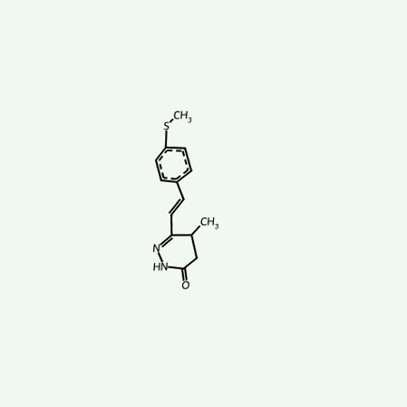 CSc1ccc(C=CC2=NNC(=O)CC2C)cc1